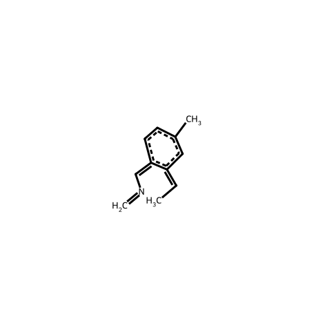 C=N/C=c1/ccc(C)c/c1=C/C